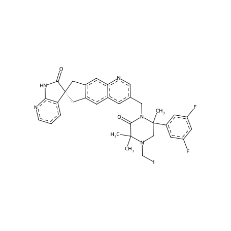 CC1(C)C(=O)N(Cc2cnc3cc4c(cc3c2)C[C@@]2(C4)C(=O)Nc3ncccc32)C(C)(c2cc(F)cc(F)c2)CN1CI